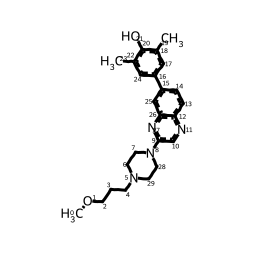 COCCCN1CCN(c2cnc3ccc(-c4cc(C)c(O)c(C)c4)cc3n2)CC1